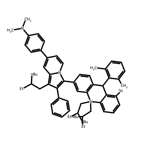 [2H]c1cccc2c1C(c1c(C)cccc1C)c1ccc(-c3c(-c4ccccc4)c(CC(CC)CCCC)c4cc(-c5ccc(N(C)C)cc5)ccn34)cc1[Si]2(CC(CC)CCCC)CC(CC)CCCC